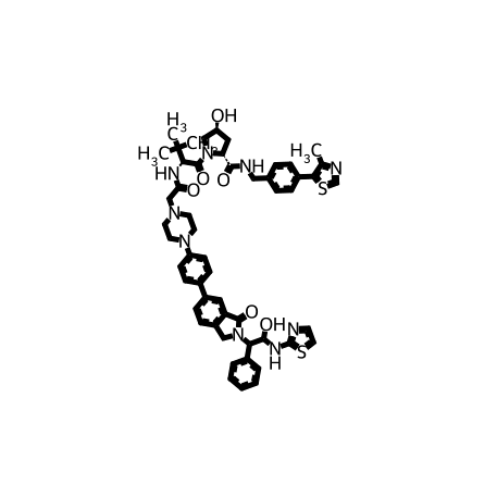 Cc1ncsc1-c1ccc(CNC(=O)[C@H]2C[C@H](O)CN2C(=O)[C@H](NC(=O)CN2CCN(c3ccc(-c4ccc5c(c4)C(=O)N(C(c4ccccc4)C(O)Nc4nccs4)C5)cc3)CC2)C(C)(C)C)cc1